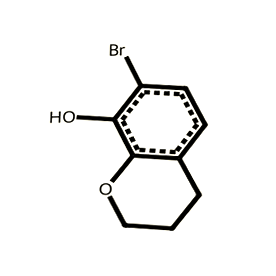 Oc1c(Br)ccc2c1OCCC2